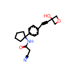 N#CCC(=O)NC1(c2ccc(C#CC3(O)COC3)cc2)CCCC1